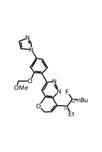 CCCC[C@H](F)[C@@H](CC)C1=CCOc2cc(-c3ccc(-n4ccnc4)cc3OCOC)nnc21